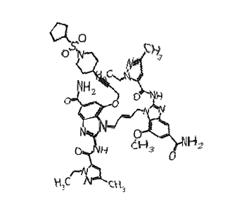 CCn1nc(C)cc1C(=O)Nc1nc2cc(C(N)=O)cc(OC)c2n1CC=CCn1c(NC(=O)c2cc(C)nn2CC)nc2cc(C(N)=O)cc(OCC#CC3CCN(S(=O)(=O)C4CCCC4)CC3)c21